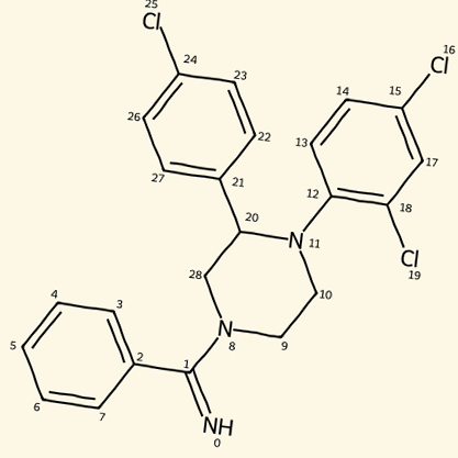 N=C(c1ccccc1)N1CCN(c2ccc(Cl)cc2Cl)C(c2ccc(Cl)cc2)C1